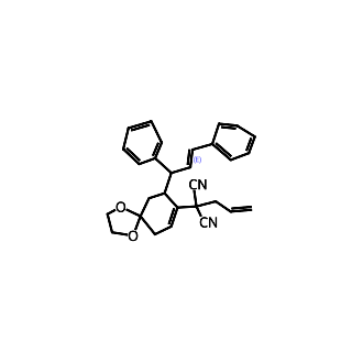 C=CCC(C#N)(C#N)C1=CCC2(CC1C(/C=C/c1ccccc1)c1ccccc1)OCCO2